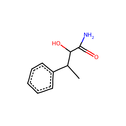 CC(c1ccccc1)C(O)C(N)=O